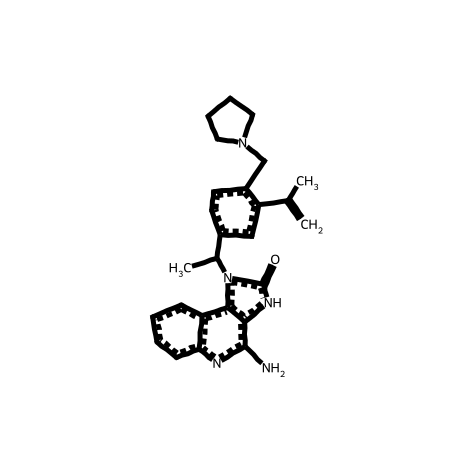 C=C(C)c1cc(C(C)n2c(=O)[nH]c3c(N)nc4ccccc4c32)ccc1CN1CCCC1